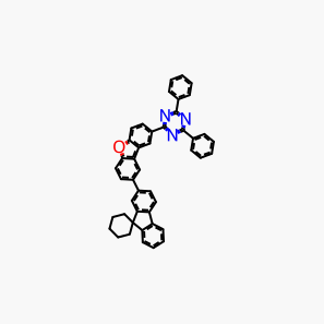 c1ccc(-c2nc(-c3ccccc3)nc(-c3ccc4oc5ccc(-c6ccc7c(c6)C6(CCCCC6)c6ccccc6-7)cc5c4c3)n2)cc1